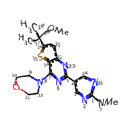 CNc1ncc(-c2nc(N3CCOCC3)c3sc(C(C)(C)OC)cc3n2)cn1